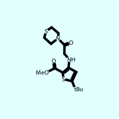 COC(=O)c1sc(C(C)(C)C)cc1NCC(=O)N1CCSCC1